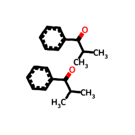 CC(C)C(=O)c1ccccc1.CC(C)C(=O)c1ccccc1